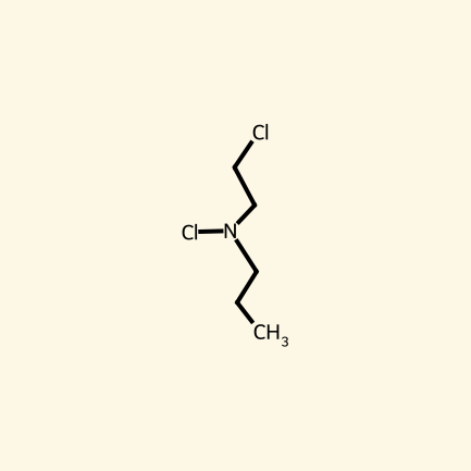 CCCN(Cl)CCCl